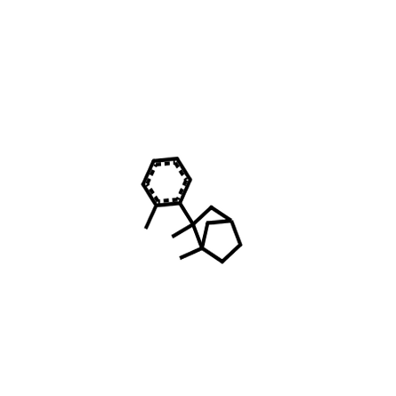 Cc1ccccc1C1(C)CC2CCC1(C)C2